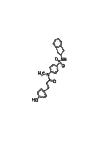 CN(C(=O)C=Cc1ccc(O)cc1)c1ccc(S(=O)(=O)NC2Cc3ccccc3C2)cc1